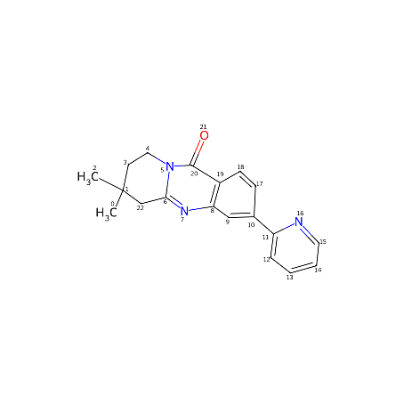 CC1(C)CCn2c(nc3cc(-c4ccccn4)ccc3c2=O)C1